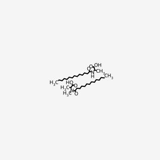 CCCCCCCCCCCCCC(=O)N(C)C(C)C(=O)O.CCCCCCCCCCCCCC(=O)NC(C)C(=O)O